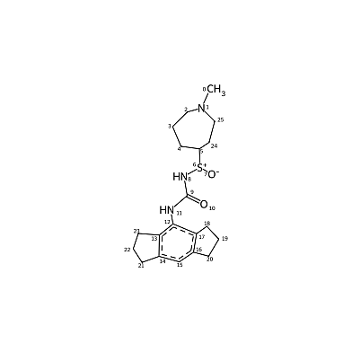 CN1CCCC([S+]([O-])NC(=O)Nc2c3c(cc4c2CCC4)CCC3)CC1